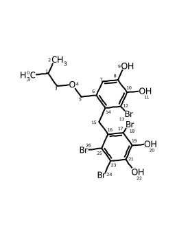 CC(C)COCc1cc(O)c(O)c(Br)c1Cc1c(Br)c(O)c(O)c(Br)c1Br